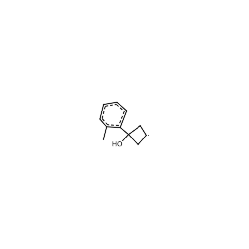 Cc1ccccc1C1(O)C[CH]C1